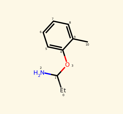 CCC(N)Oc1ccccc1C